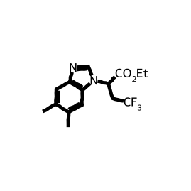 CCOC(=O)C(CC(F)(F)F)n1cnc2cc(C)c(C)cc21